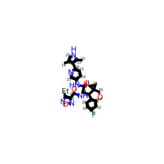 CCc1nonc1C(=O)N[C@H](C(=O)Nc1ccc(-c2c(C)c[nH]c2C)nc1)C1c2ccc(F)cc2OCC12CC2